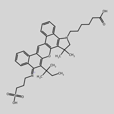 CCC(C)(C)c1c2oc3c4c(c5ccccc5c3cc-2c2ccccc2/c1=N\CCCS(=O)(=O)O)N(CCCCCC(=O)O)CC4(C)C